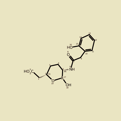 O=C(O)C[C@@H]1CC[C@H](NC(=O)Cc2ccccc2O)B(O)O1